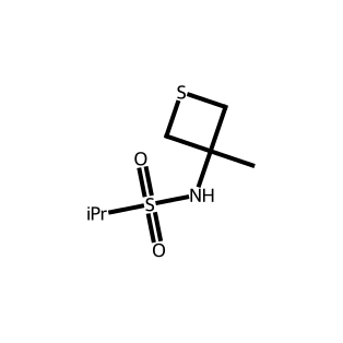 CC(C)S(=O)(=O)NC1(C)CSC1